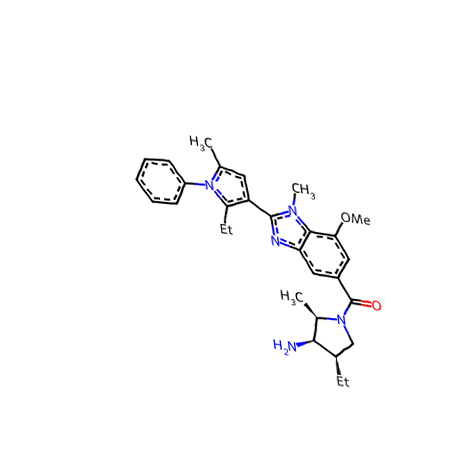 CCc1c(-c2nc3cc(C(=O)N4C[C@@H](CC)[C@@H](N)[C@H]4C)cc(OC)c3n2C)cc(C)n1-c1ccccc1